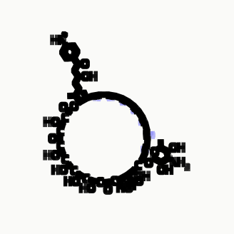 CNc1ccc(C(=O)CC(O)CCC(C)C2OC(=O)CC(O)CC(=O)CC(O)CC(O)CC(O)CC(O)CC(=O)CC(O)C(C(=O)O)C(O)CC(O[C@@H]3OC(C)[C@@H](O)[C@H](N)[C@@H]3O)\C=C/C=C\C=C/C=C\C=C/C=C\C=C/C2C)cc1